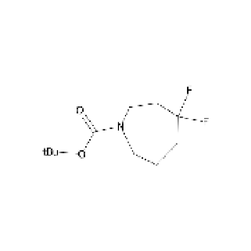 CC(C)(C)OC(=O)N1CCCC(F)(F)CC1